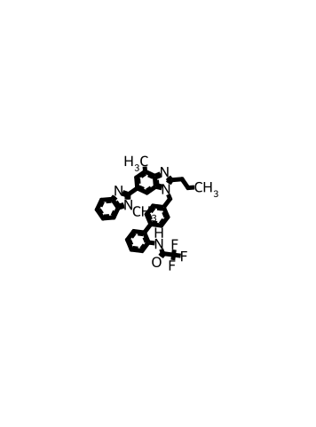 CCCc1nc2c(C)cc(-c3nc4ccccc4n3C)cc2n1Cc1ccc(-c2ccccc2NC(=O)C(F)(F)F)cc1